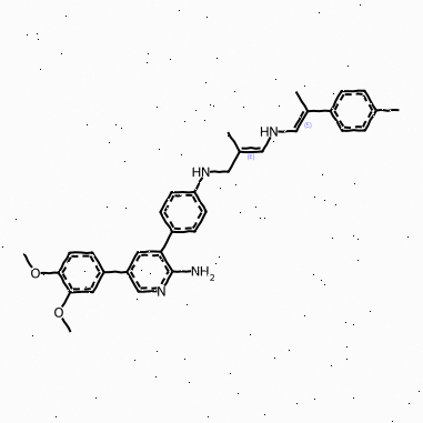 COc1ccc(-c2cnc(N)c(-c3ccc(NC/C(C)=C/N/C=C(\C)c4ccc(C)cc4)cc3)c2)cc1OC